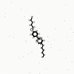 CCCCCCc1cnc(-c2ccc(OCCCCC)cc2)nc1